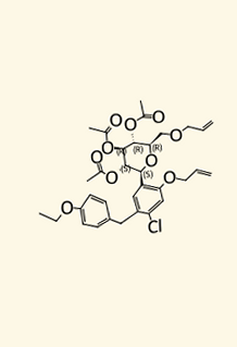 C=CCOC[C@H]1O[C@@H](c2cc(Cc3ccc(OCC)cc3)c(Cl)cc2OCC=C)[C@H](OC(C)=O)[C@@H](OC(C)=O)[C@@H]1OC(C)=O